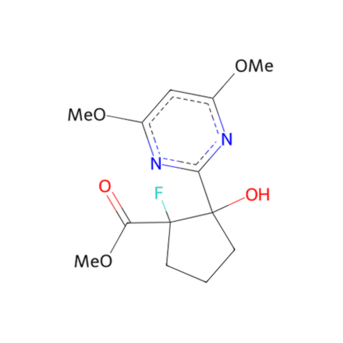 COC(=O)C1(F)CCCC1(O)c1nc(OC)cc(OC)n1